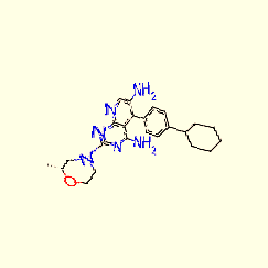 C[C@@H]1CN(c2nc(N)c3c(-c4ccc(C5CCCCC5)cc4)c(N)cnc3n2)CCO1